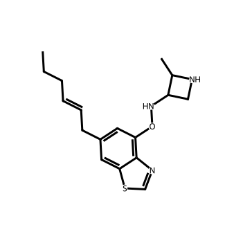 CCC/C=C/Cc1cc(ONC2CNC2C)c2ncsc2c1